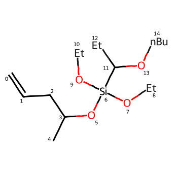 C=CCC(C)O[Si](OCC)(OCC)C(CC)OCCCC